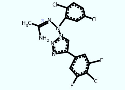 C/C(N)=N/N(c1cc(Cl)ccc1Cl)n1cc(-c2cc(F)c(Cl)c(F)c2)nn1